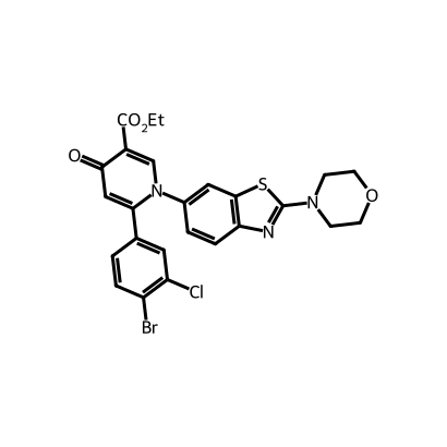 CCOC(=O)c1cn(-c2ccc3nc(N4CCOCC4)sc3c2)c(-c2ccc(Br)c(Cl)c2)cc1=O